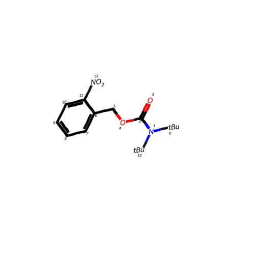 CC(C)(C)N(C(=O)OCc1ccccc1[N+](=O)[O-])C(C)(C)C